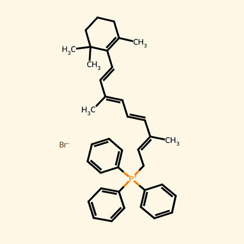 CC(C=CC1=C(C)CCCC1(C)C)=CC=CC(C)=CC[P+](c1ccccc1)(c1ccccc1)c1ccccc1.[Br-]